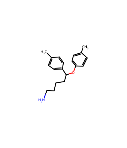 Cc1ccc(OC(CCCCN)c2ccc(C)cc2)cc1